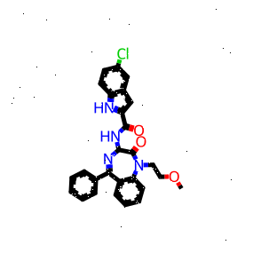 COCCN1C(=O)C(NC(=O)c2cc3cc(Cl)ccc3[nH]2)N=C(c2ccccc2)c2ccccc21